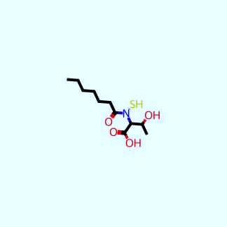 CCCCCCC(=O)N(S)C(C(=O)O)C(C)O